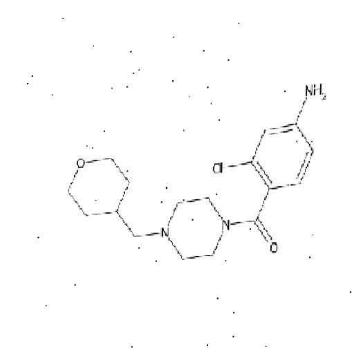 Nc1ccc(C(=O)N2CCN(CC3CCOCC3)CC2)c(Cl)c1